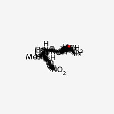 CSCC[C@H](NC(=O)[C@H](CC(C)C)NC(=O)CCC(=O)NCCCO[C@H]1CC[C@@]2(C)C(=CC[C@H]3[C@@H]4CC[C@H]([C@H](C)CCCC(C)C)[C@@]4(C)CC[C@@H]32)C1)C(=O)Nc1ccc(COC(=O)Oc2ccc([N+](=O)[O-])cc2)cc1